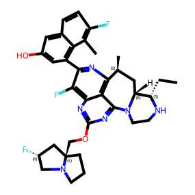 CC[C@@H]1NCCN2c3nc(OC[C@@]45CCCN4C[C@H](F)C5)nc4c(F)c(-c5cc(O)cc6ccc(F)c(C)c56)nc(c34)[C@@H](C)C[C@H]12